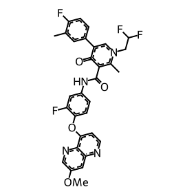 COc1cnc2c(Oc3ccc(NC(=O)c4c(C)n(CC(F)F)cc(-c5ccc(F)c(C)c5)c4=O)cc3F)ccnc2c1